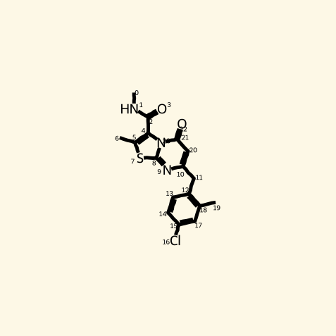 CNC(=O)c1c(C)sc2nc(Cc3ccc(Cl)cc3C)cc(=O)n12